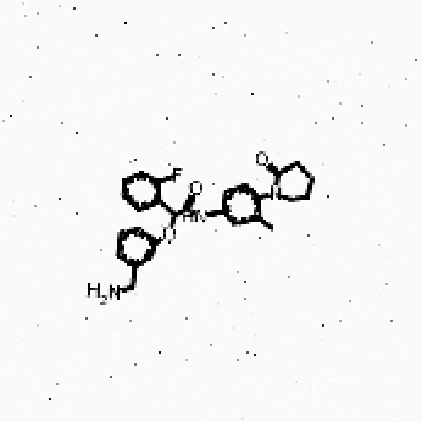 Cc1cc(NC(=O)C(Oc2cccc(CN)c2)c2ccccc2F)ccc1N1CCCCC1=O